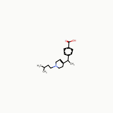 CC(C)CCN1CC=C(C(C)c2ccc(C(=O)O)cc2)CC1